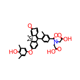 Cc1cc(C(=O)N(CC(=O)O)CC(=O)O)ccc1C1=C2C=CC(=O)C=C2[Si](C)(C)c2cc(Oc3cc(C)c(O)c(C)c3)ccc21